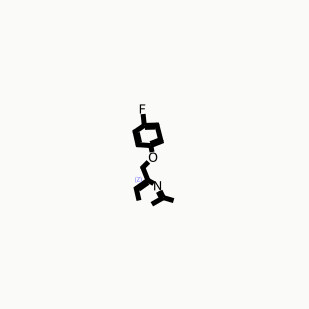 C/C=C(/COc1ccc(F)cc1)N=C(C)C